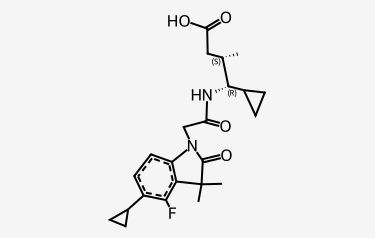 C[C@@H](CC(=O)O)[C@@H](NC(=O)CN1C(=O)C(C)(C)c2c1ccc(C1CC1)c2F)C1CC1